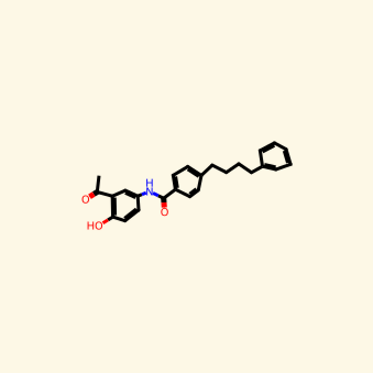 CC(=O)c1cc(NC(=O)c2ccc(CCCCc3ccccc3)cc2)ccc1O